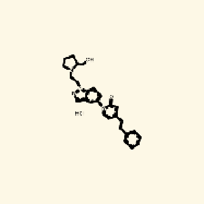 Cl.O=c1cc(CCc2ccccc2)ccn1-c1ccc2c(cnn2CCN2CCCC2CO)c1